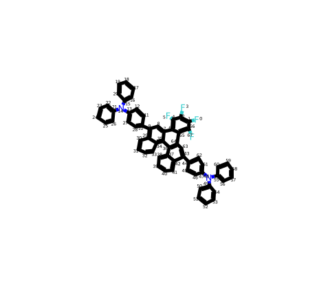 Fc1c(F)c(F)c2c3cc(-c4ccc(N(c5ccccc5)c5ccccc5)cc4)c4ccccc4c3c3c4ccccc4c(-c4ccc(N(c5ccccc5)c5ccccc5)cc4)cc3c2c1F